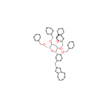 c1ccc(COC[C@H]2O[C@@H](c3cc(Cc4cc5cccccc-5c4)ccc3OCc3ccccc3)[C@H](OCc3ccccc3)[C@@H](OCc3ccccc3)[C@@H]2OCc2ccccc2)cc1